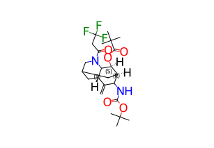 C=C1C(NC(=O)OC(C)(C)C)[C@H]2CC3C[C@@H]1C([C@H]2OC(=O)C(C)(C)C)N(C(=O)CC(F)(F)F)C3